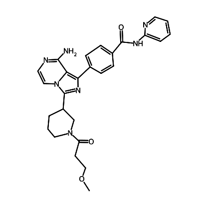 COCCC(=O)N1CCCC(c2nc(-c3ccc(C(=O)Nc4ccccn4)cc3)c3c(N)nccn23)C1